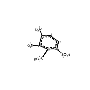 O=[N+]([O-])c1ccc(S(=O)(=O)O)c(S(=O)(=O)O)c1[N+](=O)[O-]